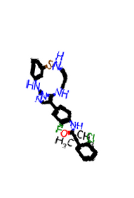 CC(C)(C(=O)Nc1ccc(-c2cnc3nc2NCCCNSc2cccc(c2)N3)cc1F)c1ccccc1Cl